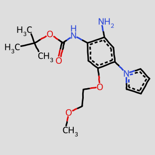 COCCOc1cc(NC(=O)OC(C)(C)C)c(N)cc1-n1cccc1